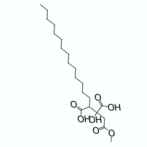 CCCCCCCCCCCCCCC(C(=O)O)C(O)(CC(=O)OC)C(=O)O